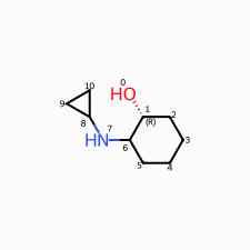 O[C@@H]1CCCCC1NC1CC1